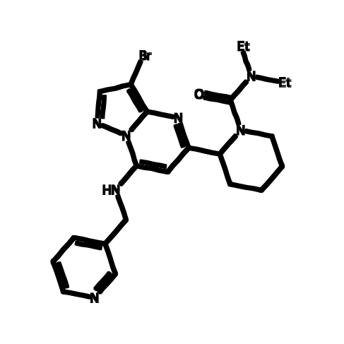 CCN(CC)C(=O)N1CCCCC1c1cc(NCc2cccnc2)n2ncc(Br)c2n1